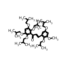 COc1cc(OCC(C)C)cc(/C=C/C(=O)c2c(OCC(C)C)c(OCC(C)C)cc(OCC(C)C)c2OCC(C)C)c1OCC(C)C